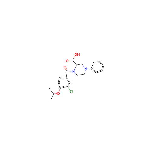 CC(C)Oc1ccc(C(=O)N2CCN(c3ccccc3)CC2C(=O)O)cc1Cl